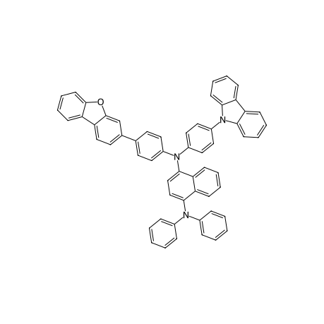 c1ccc(N(c2ccccc2)c2ccc(N(c3ccc(-c4ccc5c(c4)oc4ccccc45)cc3)c3ccc(-n4c5ccccc5c5ccccc54)cc3)c3ccccc23)cc1